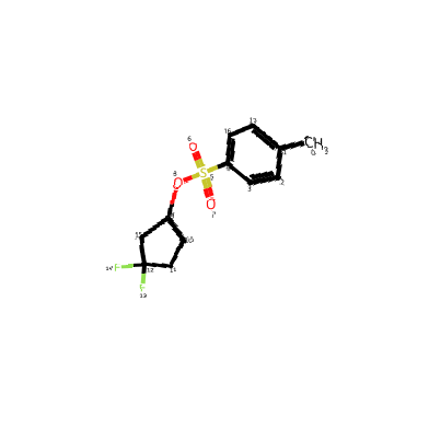 Cc1ccc(S(=O)(=O)OC2CCC(F)(F)C2)cc1